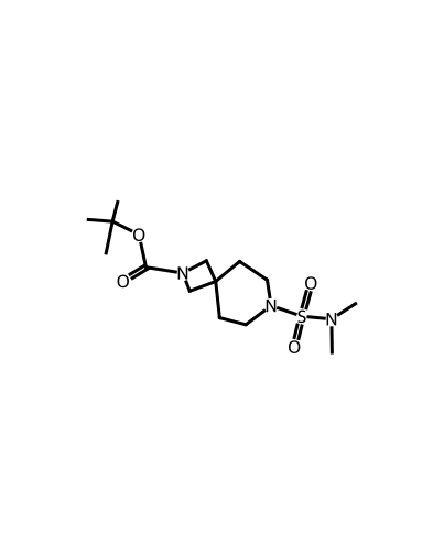 CN(C)S(=O)(=O)N1CCC2(CC1)CN(C(=O)OC(C)(C)C)C2